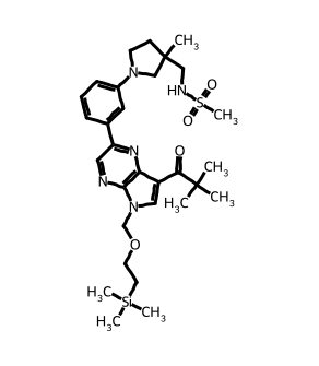 CC1(CNS(C)(=O)=O)CCN(c2cccc(-c3cnc4c(n3)c(C(=O)C(C)(C)C)cn4COCC[Si](C)(C)C)c2)C1